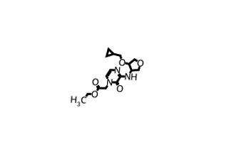 CCOC(=O)Cn1ccnc(NC2COCC2OCC2CC2)c1=O